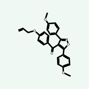 C=CCOc1ccc(C(=O)c2c(-c3ccc(OC)cc3)noc2-c2ccc(OC)cc2)cc1